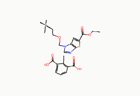 CCOC(=O)c1cc2c(ncn2COCC[Si](C)(C)C)s1.Cc1c(C(=O)O)cccc1C(=O)O